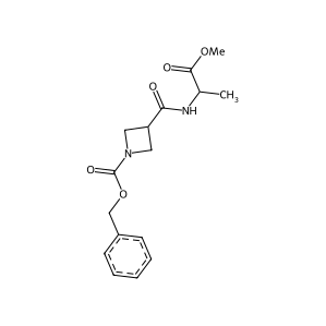 COC(=O)C(C)NC(=O)C1CN(C(=O)OCc2ccccc2)C1